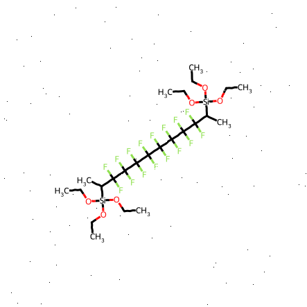 CCO[Si](OCC)(OCC)C(C)C(F)(F)C(F)(F)C(F)(F)C(F)(F)C(F)(F)C(F)(F)C(F)(F)C(F)(F)C(C)[Si](OCC)(OCC)OCC